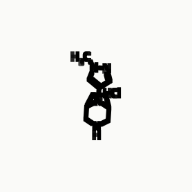 Cl.Cn1cc(N2C3CCC2CNC3)cn1